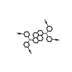 N#Cc1cccc(N(c2cccc(C#N)c2)c2ccc3ccc4c(N(c5cccc(C#N)c5)c5cccc(C#N)c5)ccc5ccc2c3c54)c1